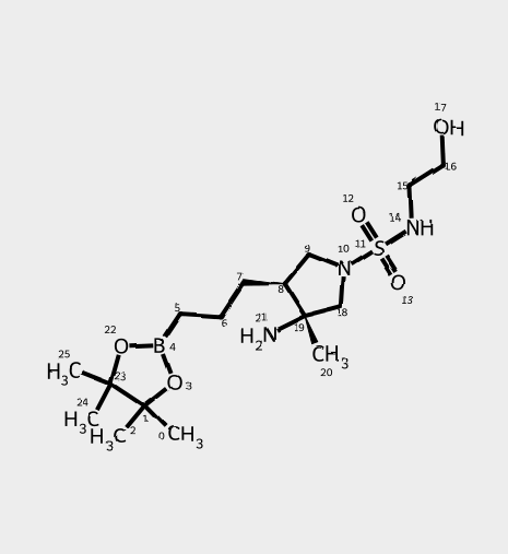 CC1(C)OB(CCC[C@H]2CN(S(=O)(=O)NCCO)C[C@]2(C)N)OC1(C)C